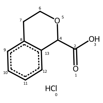 Cl.O=C(O)C1OCCc2ccccc21